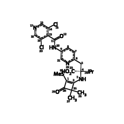 CSC1=C(N[C@](Cc2ccc(NC(=O)c3c(Cl)cncc3Cl)cn2)(C(=O)O)C(C)C)C(C)(C)C1=O